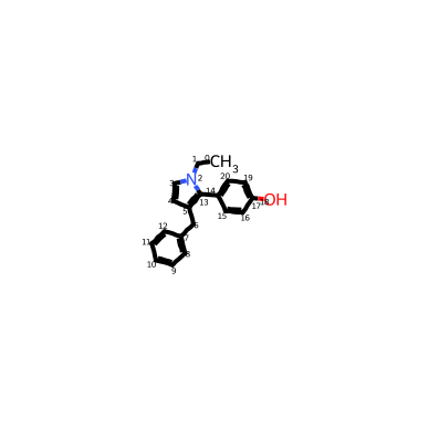 CCn1ccc(Cc2ccccc2)c1-c1ccc(O)cc1